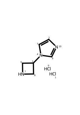 Cl.Cl.c1cn(C2CNC2)cn1